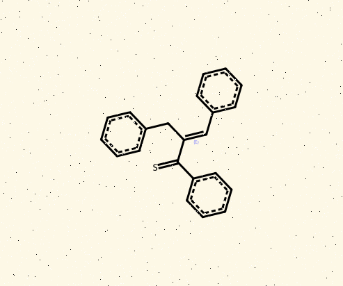 S=C(/C(=C/c1ccccc1)Cc1ccccc1)c1ccccc1